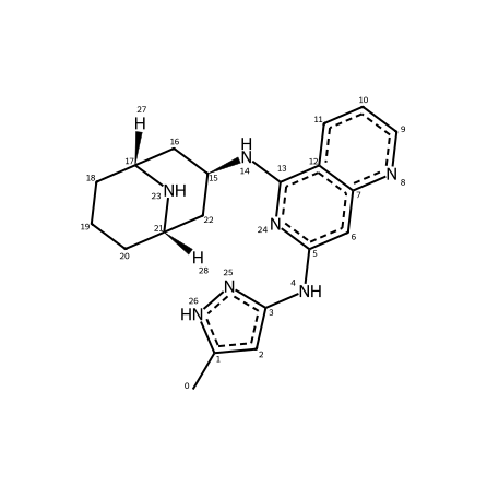 Cc1cc(Nc2cc3ncccc3c(N[C@@H]3C[C@H]4CCC[C@@H](C3)N4)n2)n[nH]1